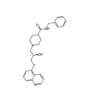 O=C(NCc1ccccc1)C1CCN(C[C@@H](O)COc2cccc3ncccc23)CC1